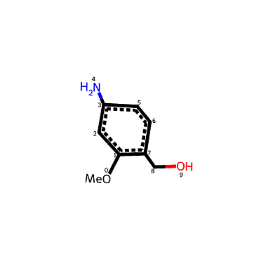 COc1cc(N)ccc1CO